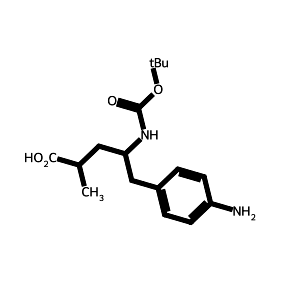 CC(CC(Cc1ccc(N)cc1)NC(=O)OC(C)(C)C)C(=O)O